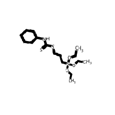 CCO[Si](CCCSC(=S)NC1CCCCC1)(OCC)OCC